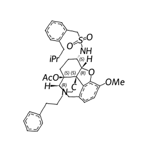 COc1ccc2c3c1O[C@H]1[C@@H](NS(=O)(=O)Cc4ccccc4CC(C)C)CC[C@@]4(OC(C)=O)[C@@H](C2)N(CCc2ccccc2)CC[C@]314